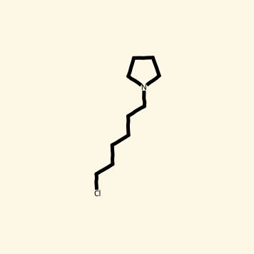 ClCCCCCCN1CCCC1